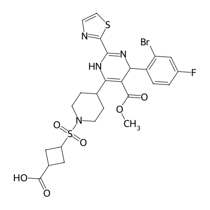 COC(=O)C1=C(C2CCN(S(=O)(=O)C3CC(C(=O)O)C3)CC2)NC(c2nccs2)=NC1c1ccc(F)cc1Br